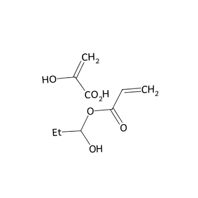 C=C(O)C(=O)O.C=CC(=O)OC(O)CC